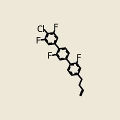 C=CCCc1ccc(-c2ccc(-c3cc(F)c(Cl)c(F)c3)c(F)c2)c(F)c1